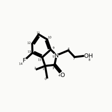 CC1(C)C(=O)N(CCO)c2cccc(F)c21